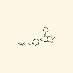 Cc1ccc(COc2ccc(CCC(=O)O)cc2)c(SC2CCCC2)n1